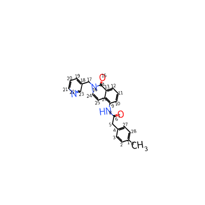 Cc1ccc(CC(=O)Nc2cccc3c(=O)n(Cc4cccnc4)ccc23)cc1